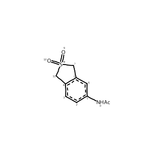 CC(=O)Nc1ccc2c(c1)CS(=O)(=O)C2